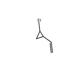 [CH2]CC1CC1C=C